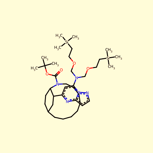 CC(C)(C)OC(=O)N1CCCCCCCCC2CCC1C(c1cc(N(COCC[Si](C)(C)C)COCC[Si](C)(C)C)n3nccc3n1)C2